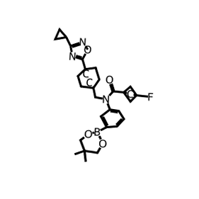 CC1(C)COB(c2cccc(N(CC34CCC(c5nc(C6CC6)no5)(CC3)CC4)C(=O)C34CC(F)(C3)C4)c2)OC1